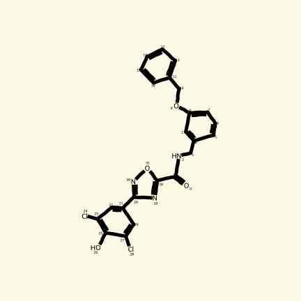 O=C(NCc1cccc(OCc2ccccc2)c1)c1nc(-c2cc(Cl)c(O)c(Cl)c2)no1